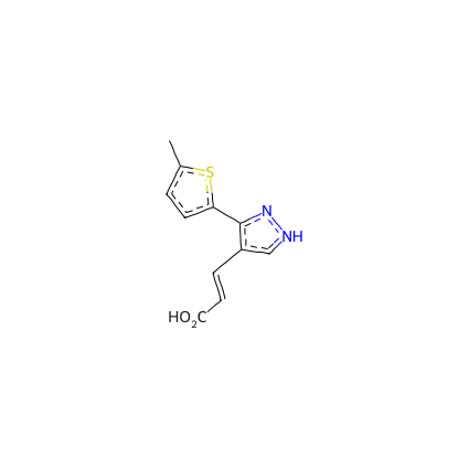 Cc1ccc(-c2n[nH]cc2C=CC(=O)O)s1